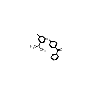 CN(C)c1cc(I)cc(Oc2ccc(C(=O)c3ccccc3)cc2)c1